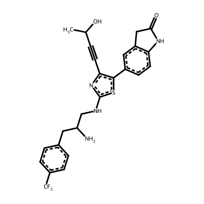 CC(O)C#Cc1nc(NCC(N)Cc2ccc(C(F)(F)F)cc2)sc1-c1ccc2c(c1)CC(=O)N2